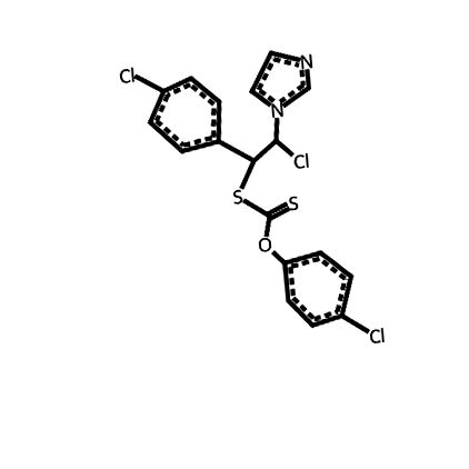 S=C(Oc1ccc(Cl)cc1)SC(c1ccc(Cl)cc1)C(Cl)n1ccnc1